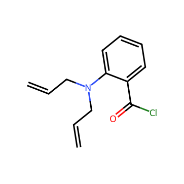 C=CCN(CC=C)c1ccccc1C(=O)Cl